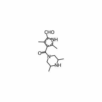 Cc1[nH]c(C=O)c(C)c1C(=O)N1CC(C)NC(C)C1